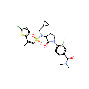 C/C(=C/S(=O)(=O)N(CC1CC1)C1CCN(c2ccc(C(=O)N(C)C)cc2F)C1=O)c1ccc(Cl)s1